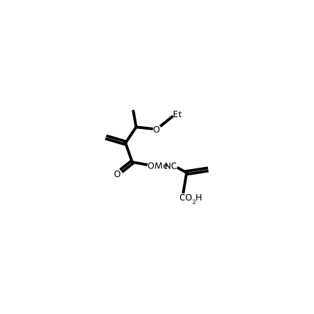 C=C(C#N)C(=O)O.C=C(C(=O)OC)C(C)OCC